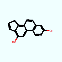 Oc1ccc2c(ccc3c4c(c(O)cc32)C=CC4)c1